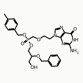 Cc1ccc(COP(=O)(COCCn2cnc3c(=O)[nH]c(N)nc32)OCC(CO)OCc2ccccc2)cc1